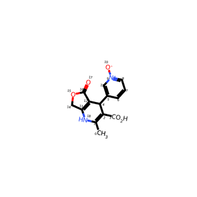 CC1=C(C(=O)O)C(c2ccc[n+]([O-])c2)C2=C(COC2=O)N1